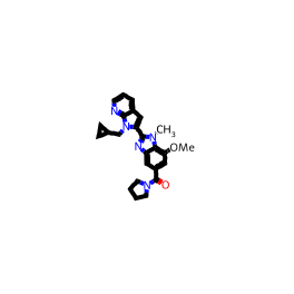 COc1cc(C(=O)N2CCCC2)cc2nc(-c3cc4cccnc4n3CC3CC3)n(C)c12